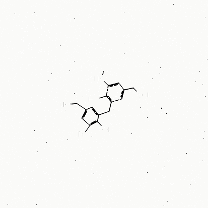 CPc1cc(CO)cc(Cc2cc(CO)cc(C(C)C)c2O)c1O